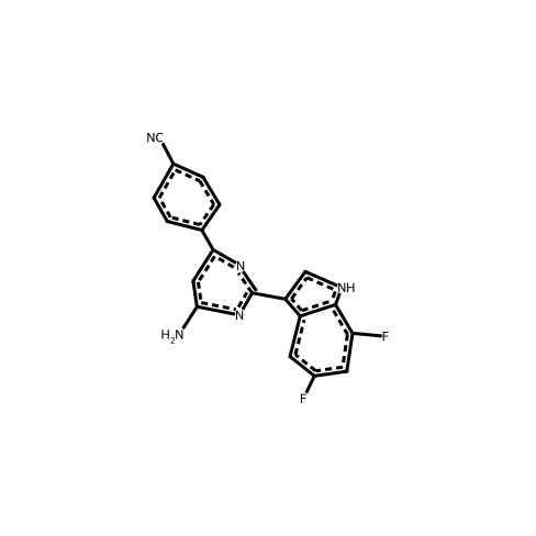 N#Cc1ccc(-c2cc(N)nc(-c3c[nH]c4c(F)cc(F)cc34)n2)cc1